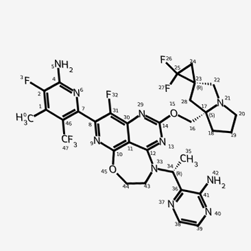 Cc1c(F)c(N)nc(-c2nc3c4c(nc(OC[C@@]56CCCN5C[C@]5(CC5(F)F)C6)nc4c2F)N([C@H](C)c2nccnc2N)CCO3)c1C(F)(F)F